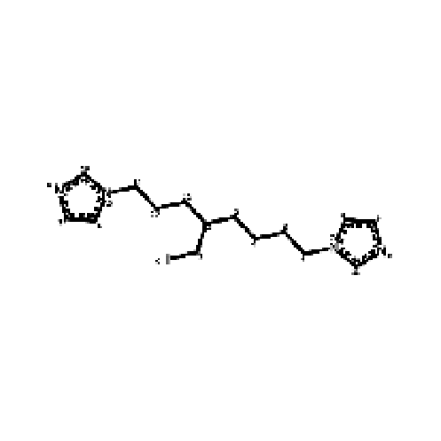 ICC(CCCCn1ccnc1)CCCn1ccnc1